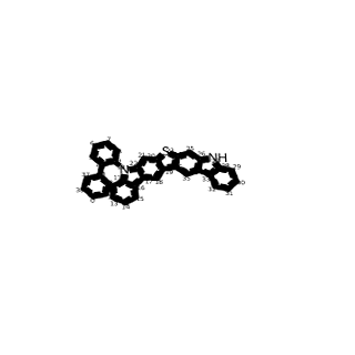 c1ccc(-c2ccccc2-n2c3ccccc3c3cc4c(cc32)sc2cc3[nH]c5ccccc5c3cc24)cc1